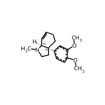 COc1ccc([C@@]23CCC=C[C@@H]2N(C)CC3)cc1OC